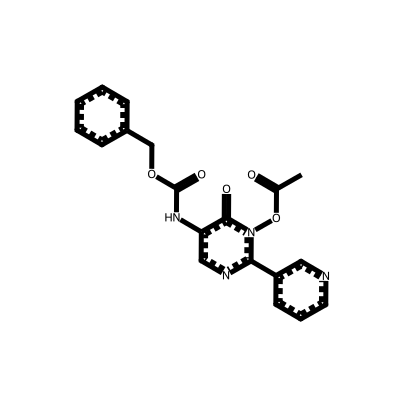 CC(=O)On1c(-c2cccnc2)ncc(NC(=O)OCc2ccccc2)c1=O